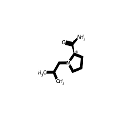 CC(C)CN1CCC[C@@H]1C(N)=O